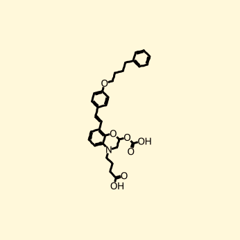 O=C(O)CCCN1CC(OC(=O)O)Oc2c(/C=C/c3ccc(OCCCCc4ccccc4)cc3)cccc21